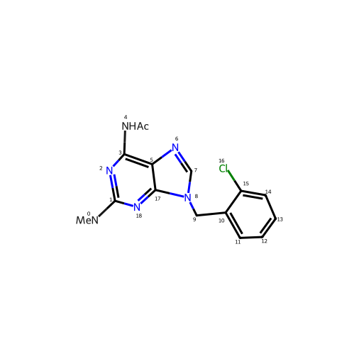 CNc1nc(NC(C)=O)c2ncn(Cc3ccccc3Cl)c2n1